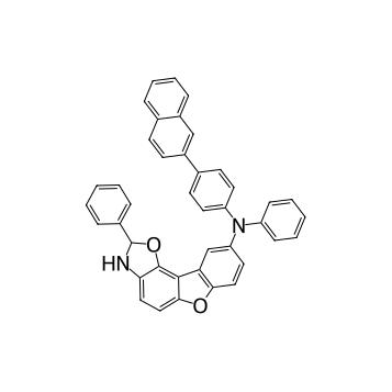 c1ccc(C2Nc3ccc4oc5ccc(N(c6ccccc6)c6ccc(-c7ccc8ccccc8c7)cc6)cc5c4c3O2)cc1